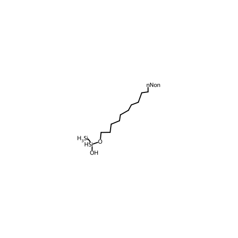 CCCCCCCCCCCCCCCCCCCO[SiH](O)[SiH3]